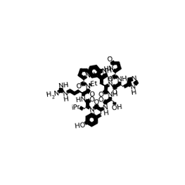 CCN(C(=O)[C@@H]1CCCN1)C(=O)[C@H](CCCNC(=N)N)NC(=O)[C@@H](CC(C)C)NC(=O)[C@@H](Cc1ccc(O)cc1)NC(=O)[C@@H](CO)NC(=O)[C@@H](Cc1c[nH]c2ccccc12)NC(=O)[C@@H](Cc1cnc[nH]1)NC(=O)[C@H]1CCC(=O)N1